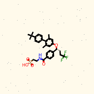 Cc1cc(O[C@H](CCC(F)(F)F)c2ccc(C(=O)NCCS(=O)(=O)O)cc2)cc(C)c1-c1ccc(C(C)(C)C)cc1